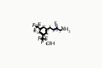 Cl.NC/C(F)=C/Cc1cc(C(F)(F)F)cc(C(F)(F)F)c1